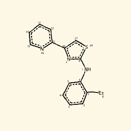 CCc1ccccc1Nc1nc(-c2ccccn2)cs1